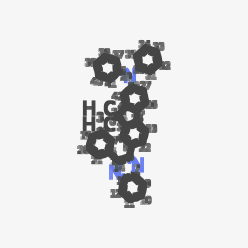 CC1(C)c2cc(-c3nc4ccccc4nc3-c3ccccc3)ccc2-c2ccc(N(c3ccccc3)c3ccccc3)cc21